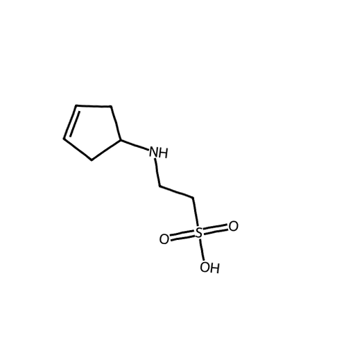 O=S(=O)(O)CCNC1CC=CC1